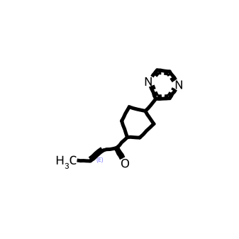 C/C=C/C(=O)C1CCC(c2cnccn2)CC1